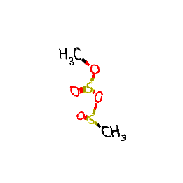 COS(=O)OS(C)=O